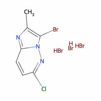 Br.Br.Br.Cc1nc2ccc(Cl)nn2c1Br